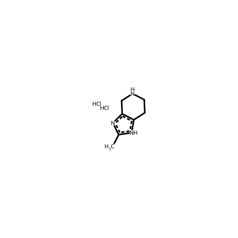 Cc1nc2c([nH]1)CCNC2.Cl.Cl